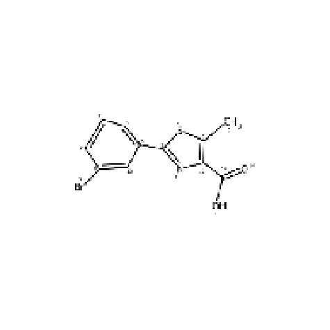 Cc1sc(-c2cccc(Br)c2)nc1C(=O)O